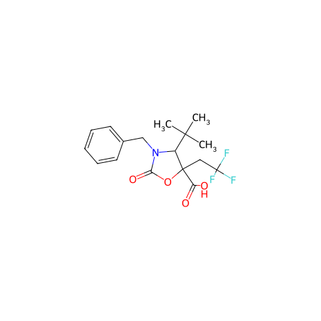 CC(C)(C)C1N(Cc2ccccc2)C(=O)OC1(CC(F)(F)F)C(=O)O